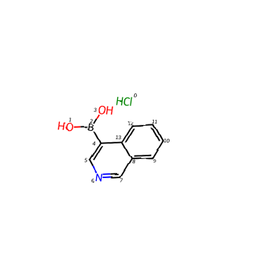 Cl.OB(O)c1cncc2ccccc12